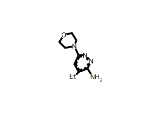 CCc1cc(N2CCOCC2)nnc1N